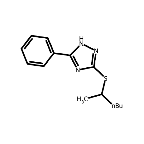 CCCCC(C)Sc1n[nH]c(-c2ccccc2)n1